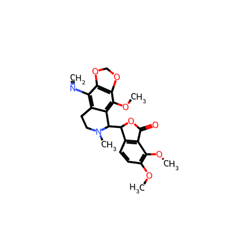 C=Nc1c2c(c(OC)c3c1OCO3)C(C1OC(=O)c3c1ccc(OC)c3OC)N(C)CC2